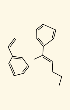 C=Cc1ccccc1.CCCC=C(C)c1ccccc1